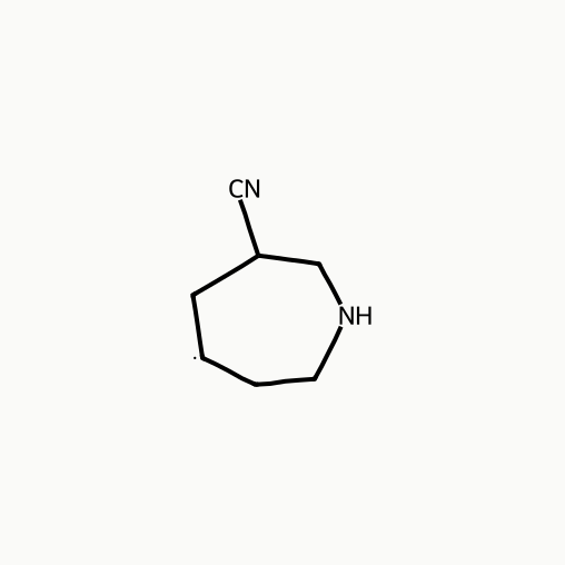 N#CC1C[CH]CCNC1